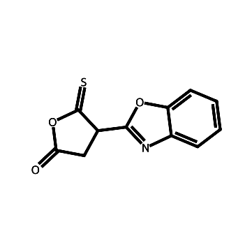 O=C1CC(c2nc3ccccc3o2)C(=S)O1